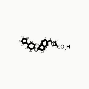 O=C(O)C1CN(Cc2ccc3cc(OC4CCC(C5CCCC5)CC4)ccc3c2)C1